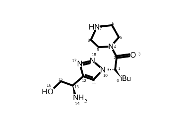 CC[C@H](C)[C@@H](C(=O)N1CCNCC1)n1cc([C@@H](N)CO)nn1